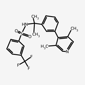 Cc1cncc(C)c1-c1cccc(C(C)(C)NS(=O)(=O)c2cccc(C(F)(F)F)c2)c1